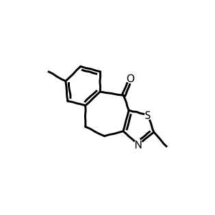 Cc1ccc2c(c1)CCc1nc(C)sc1C2=O